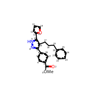 COC(=O)c1ccc(-c2n[nH]c(-c3ccco3)c2CCCc2ccccc2)cc1